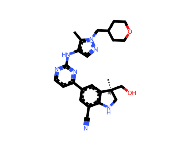 Cc1c(Nc2nccc(-c3cc(C#N)c4c(c3)[C@@](C)(CO)CN4)n2)cnn1CC1CCOCC1